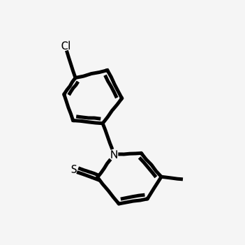 Cc1ccc(=S)n(-c2ccc(Cl)cc2)c1